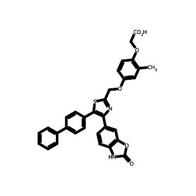 Cc1cc(OCc2nc(-c3ccc4[nH]c(=O)oc4c3)c(-c3ccc(-c4ccccc4)cc3)s2)ccc1OCC(=O)O